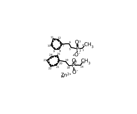 CCP(=O)([O-])CCc1ccccc1.CCP(=O)([O-])CCc1ccccc1.[Zn+2]